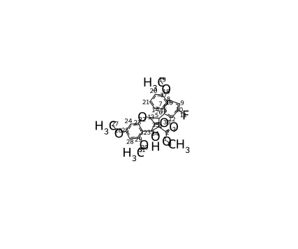 COC(=O)C1C(c2cccc(F)c2)[C@]2(c3ccc(OC)cc3)Oc3cc(OC)cc(OC)c3[C@@]1(O)C2=O